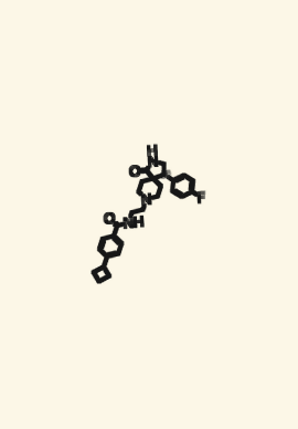 O=C(NCCN1CCC2(CC1)C(=O)NC[C@H]2c1ccc(F)cc1)c1ccc(C2CCC2)cc1